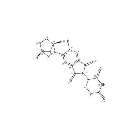 O=C1CCC(N2C(=O)c3cc(F)c(N4C[C@H]5C[C@@H]4CN5)cc3C2=O)C(=O)N1